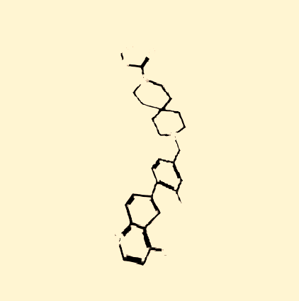 CC(C)(C)OC(=O)N1CCC2(CCN(Cc3ccc(-c4ccc5nccc(Cl)c5c4)c(F)c3)CC2)CC1